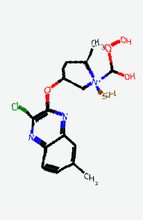 Cc1ccc2nc(Cl)c(OC3C[C@@H](C)[N+](S)(C(O)OO)C3)nc2c1